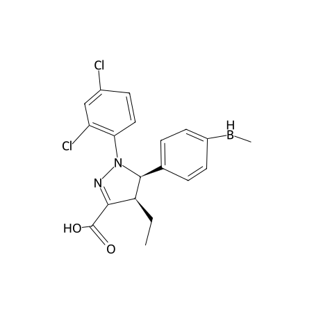 CBc1ccc([C@H]2[C@@H](CC)C(C(=O)O)=NN2c2ccc(Cl)cc2Cl)cc1